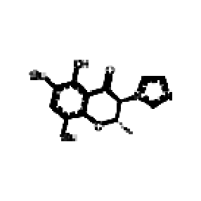 C[C@@H]1Oc2c(C(C)(C)C)cc(C(C)(C)C)c(O)c2C(=O)[C@H]1n1ccnc1